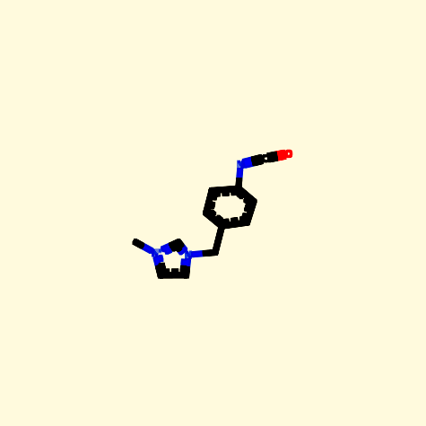 C[n+]1ccn(Cc2ccc(N=C=O)cc2)c1